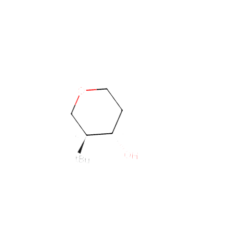 CC(C)(C)[C@H]1COCC[C@@H]1O